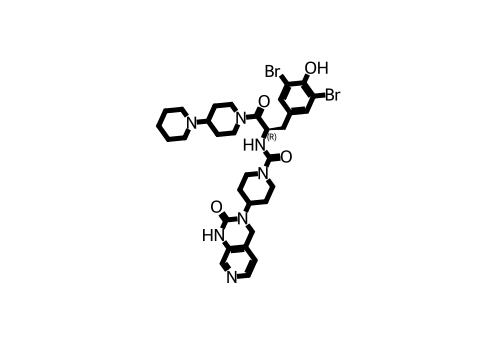 O=C(N[C@H](Cc1cc(Br)c(O)c(Br)c1)C(=O)N1CCC(N2CCCCC2)CC1)N1CCC(N2Cc3ccncc3NC2=O)CC1